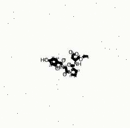 CCO[C@@H]1OC(=O)C[C@@H]1NC(=O)[C@@H]1CCCN1C(=O)CNC(=O)c1ccc(O)cc1Cl